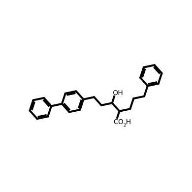 O=C(O)C(CCCc1ccccc1)C(O)CCc1ccc(-c2ccccc2)cc1